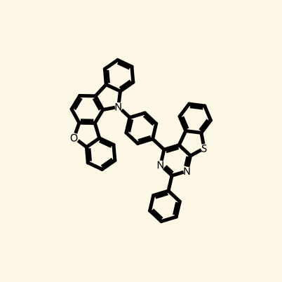 c1ccc(-c2nc(-c3ccc(-n4c5ccccc5c5ccc6oc7ccccc7c6c54)cc3)c3c(n2)sc2ccccc23)cc1